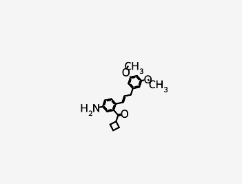 COc1cc(C/C=C/c2ccc(N)cc2C(=O)C2CCC2)cc(OC)c1